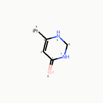 B=C1C=C(C(C)C)NCN1